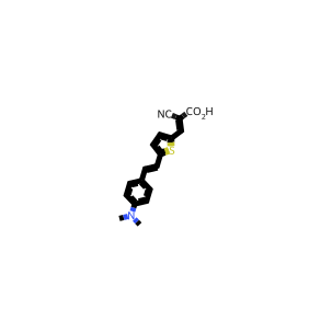 CN(C)c1ccc(/C=C/c2ccc(/C=C(\C#N)C(=O)O)s2)cc1